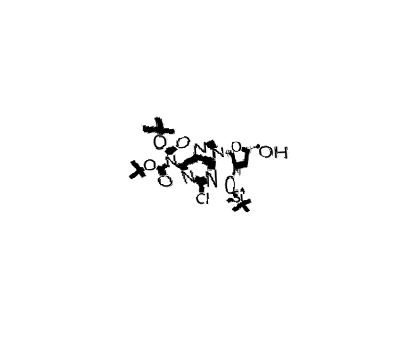 CC(C)(C)OC(=O)N(C(=O)OC(C)(C)C)c1nc(Cl)nc2c1ncn2[C@@H]1O[C@H](CO)C[C@H]1O[Si](C)(C)C(C)(C)C